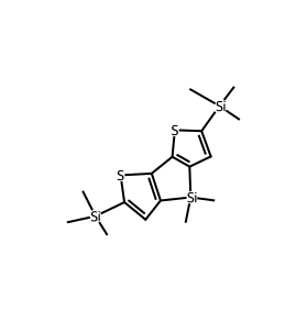 C[Si](C)(C)c1cc2c(s1)-c1sc([Si](C)(C)C)cc1[Si]2(C)C